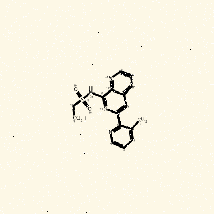 Cc1cccnc1-c1cc2cccnc2c(NS(=O)(=O)CC(=O)O)n1